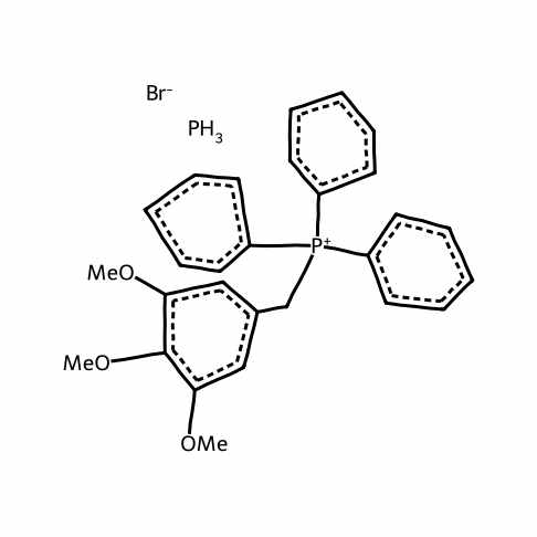 COc1cc(C[P+](c2ccccc2)(c2ccccc2)c2ccccc2)cc(OC)c1OC.P.[Br-]